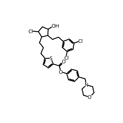 O=C(Oc1ccc(CN2CCOCC2)cc1)c1ccc(CCCC2C(Cl)CC(O)C2CCc2cc(Cl)cc(Cl)c2)s1